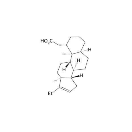 CCC1=CC[C@H]2[C@@H]3CC[C@@H]4CCC[C@@H](CC(=O)O)[C@]4(C)[C@H]3CC[C@]12C